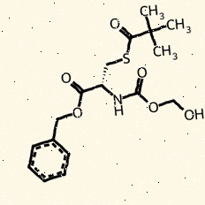 CC(C)(C)C(=O)SC[C@H](NC(=O)OCO)C(=O)OCc1ccccc1